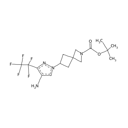 CC(C)(C)OC(=O)N1CC2(CC(n3cc(N)c(C(F)(F)C(F)(F)F)n3)C2)C1